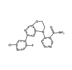 NC(=O)c1cnccc1N1CCOc2cnc(-c3cc(Cl)ccc3F)cc21